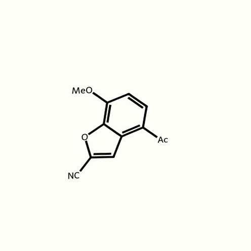 COc1ccc(C(C)=O)c2cc(C#N)oc12